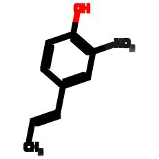 CC=Cc1ccc(O)c([N+](=O)[O-])c1